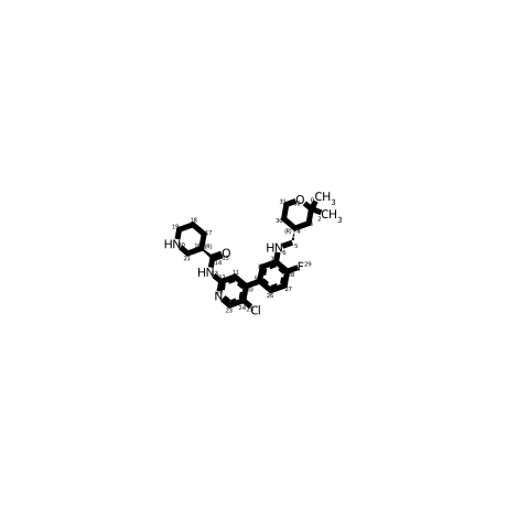 CC1(C)C[C@H](CNc2cc(-c3cc(NC(=O)[C@@H]4CCCNC4)ncc3Cl)ccc2F)CCO1